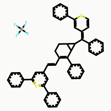 C1=CC(=C(c2ccccc2)C2C3CCC(C=Cc4cc(-c5ccccc5)[s+]c(-c5ccccc5)c4)=C(c4ccccc4)C32)C=C(c2ccccc2)S1.F[B-](F)(F)F